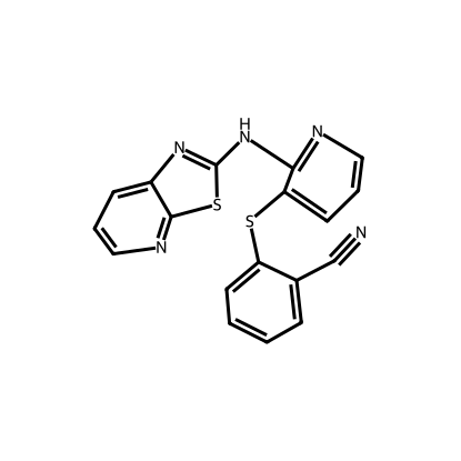 N#Cc1ccccc1Sc1cccnc1Nc1nc2cccnc2s1